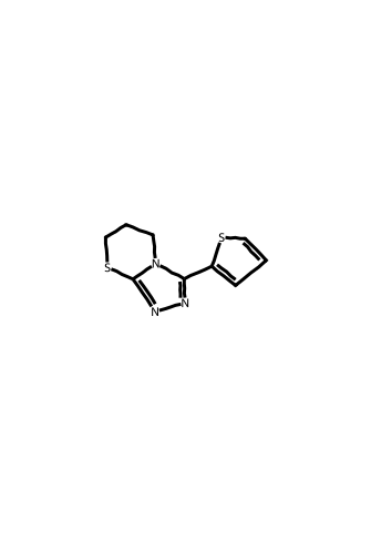 c1csc(-c2nnc3n2CCCS3)c1